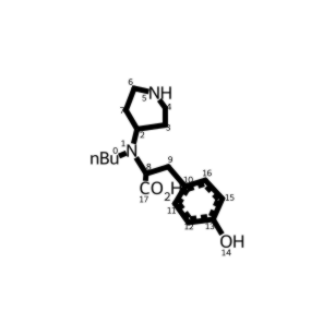 CCCCN(C1CCNCC1)C(Cc1ccc(O)cc1)C(=O)O